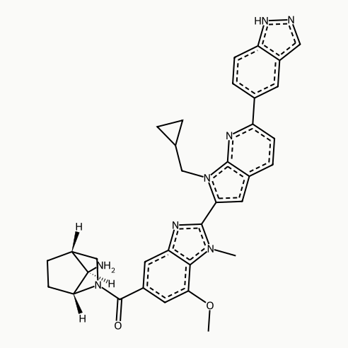 COc1cc(C(=O)N2C[C@H]3CC[C@@H]2[C@@H]3N)cc2nc(-c3cc4ccc(-c5ccc6[nH]ncc6c5)nc4n3CC3CC3)n(C)c12